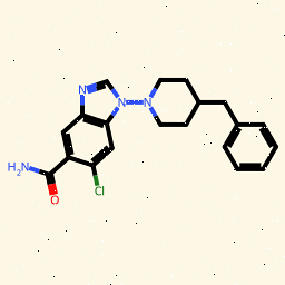 NC(=O)c1cc2ncn(N3CCC(Cc4ccccc4)CC3)c2cc1Cl